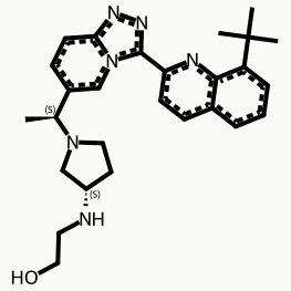 C[C@@H](c1ccc2nnc(-c3ccc4cccc(C(C)(C)C)c4n3)n2c1)N1CC[C@H](NCCO)C1